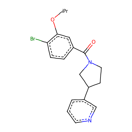 CC(C)Oc1cc(C(=O)N2CCC(c3cccnc3)C2)ccc1Br